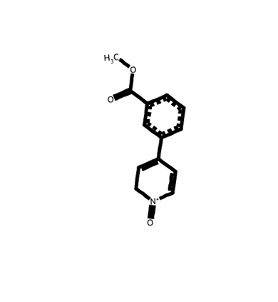 COC(=O)c1cccc(C2=CC[N+](=O)C=C2)c1